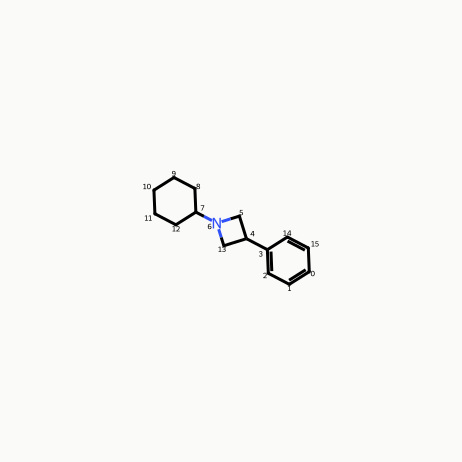 c1ccc(C2CN(C3CCCCC3)C2)cc1